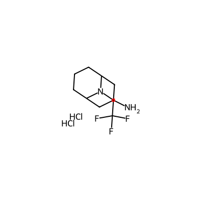 Cl.Cl.NC1CC2CCCC(C1)N2CC(F)(F)F